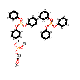 CCOP(OCC)OCC.[C]=O.[Ni].c1ccc(OP(Oc2ccccc2)Oc2ccccc2)cc1.c1ccc(OP(Oc2ccccc2)Oc2ccccc2)cc1